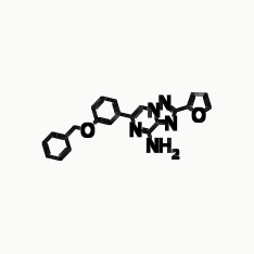 Nc1nc(-c2cccc(OCc3ccccc3)c2)cn2nc(-c3ccco3)nc12